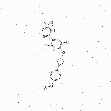 CS(=O)(=O)NC(=O)c1cc(Cl)c(OC2CN(c3ccc(OC(F)(F)F)cc3)C2)cc1F